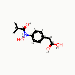 CC(C)C(=O)N(O)c1ccc(CC(=O)O)cc1